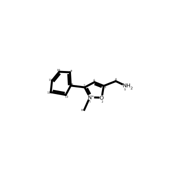 C[n+]1oc(CN)cc1-c1ccccc1